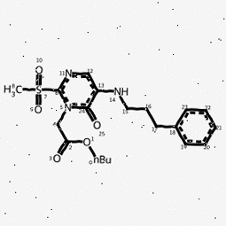 CCCCOC(=O)Cn1c(S(C)(=O)=O)ncc(NCCCc2ccccc2)c1=O